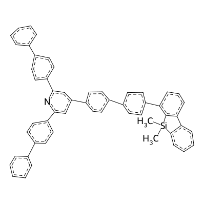 C[Si]1(C)c2ccccc2-c2cccc(-c3ccc(-c4ccc(-c5cc(-c6ccc(-c7ccccc7)cc6)nc(-c6ccc(-c7ccccc7)cc6)c5)cc4)cc3)c21